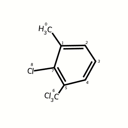 Cc1cccc(C(Cl)(Cl)Cl)c1Cl